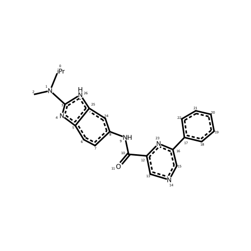 CC(C)N(C)c1nc2ccc(NC(=O)c3cncc(-c4ccccc4)n3)cc2[nH]1